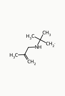 [CH2]C(C)(C)NCC(=C)C